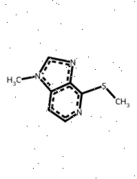 CSc1nccc2c1ncn2C